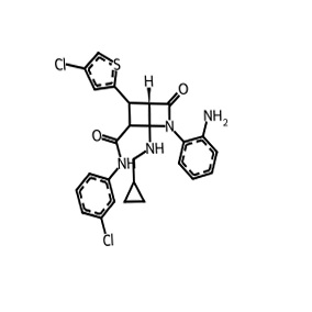 Nc1ccccc1N1C(=O)[C@H]2C(c3cc(Cl)cs3)C(C(=O)Nc3cccc(Cl)c3)C21NCC1CC1